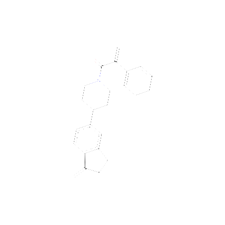 C=C(C(=O)N1CCC(c2ccc3c(c2)CCC3=C)CC1)C1=CCCC=C1